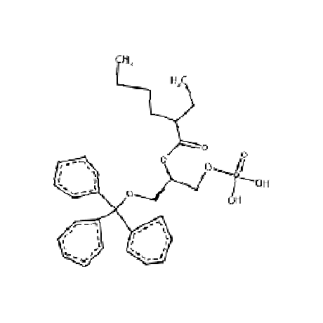 CCCCC(CC)C(=O)O[C@H](COC(c1ccccc1)(c1ccccc1)c1ccccc1)COP(=O)(O)O